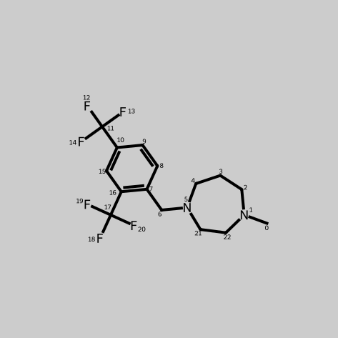 CN1CCCN(Cc2ccc(C(F)(F)F)cc2C(F)(F)F)CC1